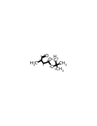 CC(C=O)CC(=O)OC(C)(C)C